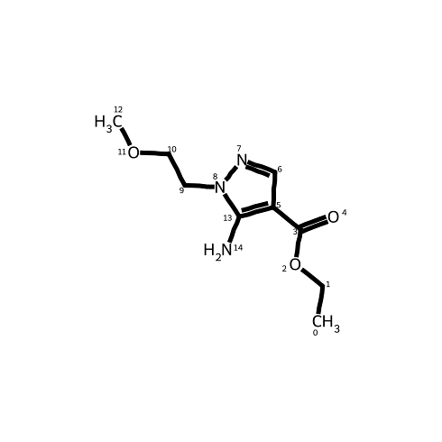 CCOC(=O)c1cnn(CCOC)c1N